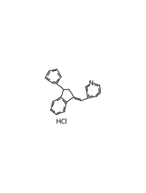 C(=C1CC(c2ccccc2)c2ccccc21)c1cccnc1.Cl